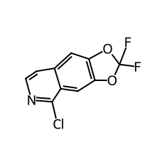 FC1(F)Oc2cc3ccnc(Cl)c3cc2O1